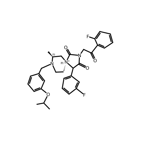 CC(C)Oc1cccc(CN2CC[N@+]3(C[C@@H]2C)C(=O)N(CC(=O)c2ccccc2F)C(=O)C3c2cccc(F)c2)c1